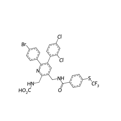 O=C(O)NCc1nc(-c2ccc(Br)cc2)c(-c2ccc(Cl)cc2Cl)cc1CNC(=O)c1ccc(SC(F)(F)F)cc1